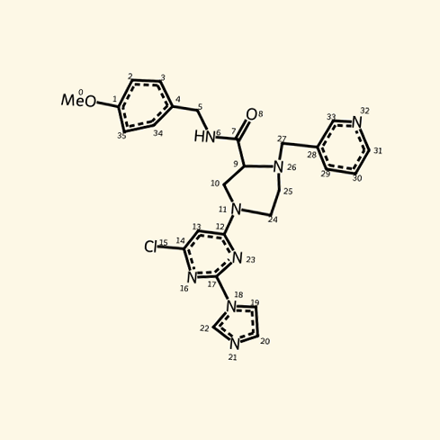 COc1ccc(CNC(=O)C2CN(c3cc(Cl)nc(-n4ccnc4)n3)CCN2Cc2cccnc2)cc1